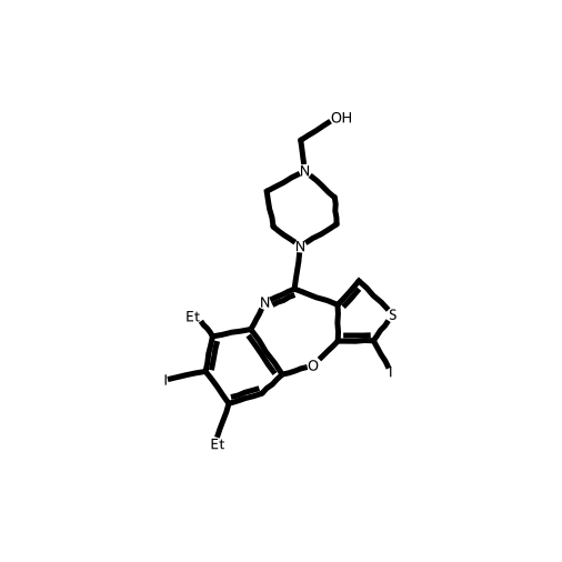 CCc1cc2c(c(CC)c1I)N=C(N1CCN(CO)CC1)c1csc(I)c1O2